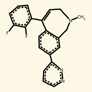 CN1CC=C(c2cccc(F)c2F)c2ccc(-c3cccnn3)cc2C1